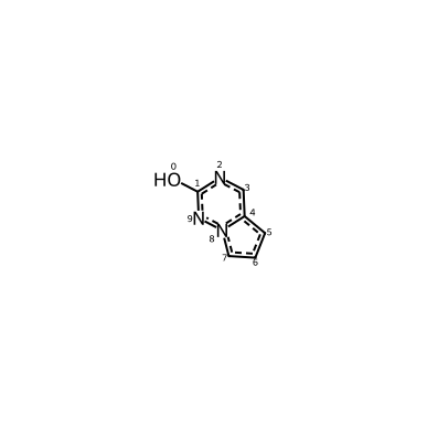 Oc1ncc2cccn2n1